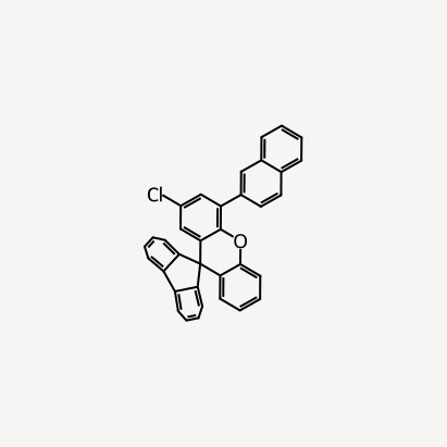 Clc1cc(-c2ccc3ccccc3c2)c2c(c1)C1(c3ccccc3O2)c2ccccc2-c2ccccc21